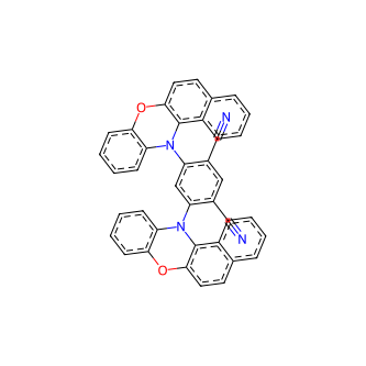 N#Cc1cc(C#N)c(N2c3ccccc3Oc3ccc4ccccc4c32)cc1N1c2ccccc2Oc2ccc3ccccc3c21